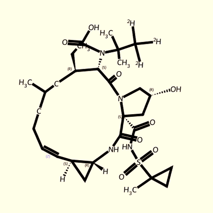 [2H]C([2H])([2H])C(C)(C)N(C(=O)O)[C@@H]1C(=O)N2C[C@H](O)C[C@@]2(C(=O)NS(=O)(=O)C2(C)CC2)C(=O)N[C@@H]2C[C@H]2/C=C\CCC(C)C[C@H]1CC